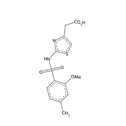 COc1cc(C)ccc1S(=O)(=O)Nc1nc(CC(=O)O)cs1